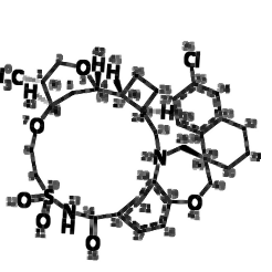 C[C@@H]1CO[C@H]2C[C@H]1OCCS(=O)(=O)NC(=O)c1ccc3c(c1)N(C[C@@H]1CC[C@H]12)C[C@@]1(CCCc2cc(Cl)ccc21)CO3